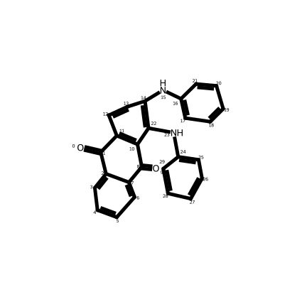 O=C1c2ccccc2C(=O)c2c1ccc(Nc1ccccc1)c2Nc1ccccc1